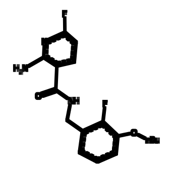 CCCCOc1cccc(CNC(=O)c2ccc(F)nc2N)c1F